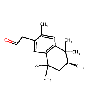 Cc1cc2c(cc1CC=O)C(C)(C)C[C@H](C)C2(C)C